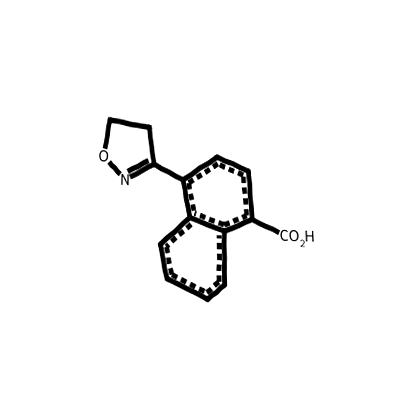 O=C(O)c1ccc(C2=NOCC2)c2ccccc12